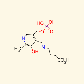 Cc1ncc(COP(=O)(O)O)c(CNCCCC(=O)O)c1O